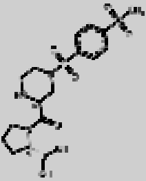 CS(=O)(=O)c1ccc(S(=O)(=O)N2CCN[C@H](C(=O)N3CCC[C@H]3B(O)O)C2)cc1